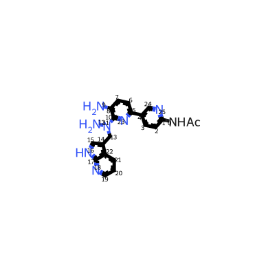 CC(=O)Nc1ccc(-c2ccc(N)c(N(N)Cc3c[nH]c4ncccc34)n2)cn1